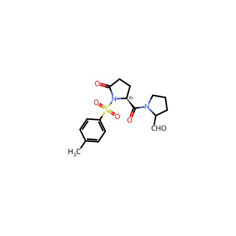 Cc1ccc(S(=O)(=O)N2C(=O)CC[C@H]2C(=O)N2CCCC2C=O)cc1